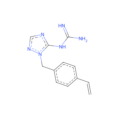 C=Cc1ccc(Cn2ncnc2NC(=N)N)cc1